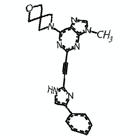 Cn1cnc2c(N3CC4(COC4)C3)nc(C#Cc3nc(-c4ccccc4)c[nH]3)nc21